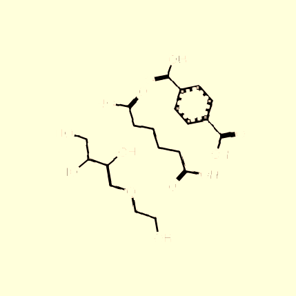 O=C(O)CCCCC(=O)O.O=C(O)c1ccc(C(=O)O)cc1.OCCOCC(O)C(O)CO